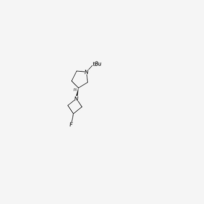 CC(C)(C)N1CC[C@H](N2CC(F)C2)C1